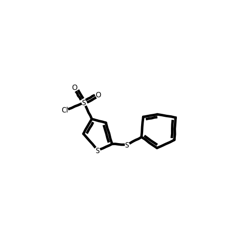 O=S(=O)(Cl)c1csc(Sc2ccccc2)c1